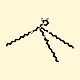 CCCCCCCCCCCCOCCC[N+](CCCOCCCCCCCCCCCC)(CCCOCCCCCCCCCCCC)CN1CCCC1=O.[Cl-]